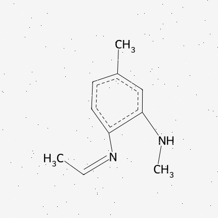 C/C=N\c1ccc(C)cc1NC